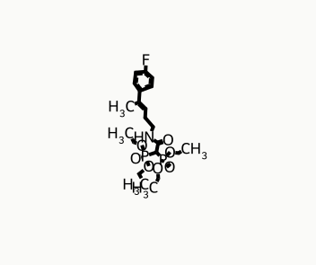 CCOP(=O)(OCC)C(C(=O)NCCC=C(C)c1ccc(F)cc1)P(=O)(OCC)OCC